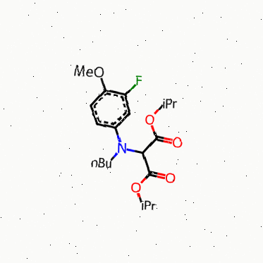 CCCCN(c1ccc(OC)c(F)c1)C(C(=O)OC(C)C)C(=O)OC(C)C